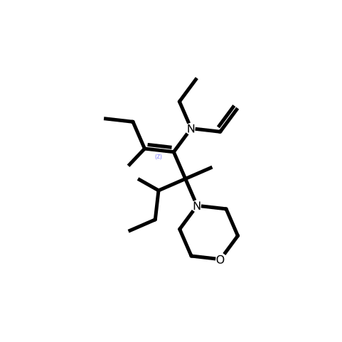 C=CN(CC)/C(=C(/C)CC)C(C)(C(C)CC)N1CCOCC1